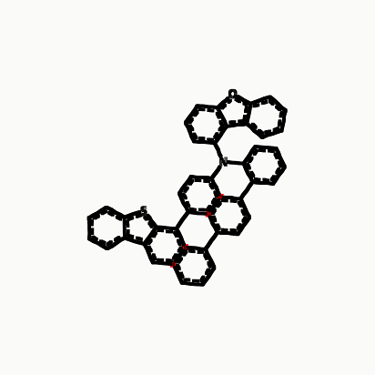 c1ccc(-c2ccc(-c3ccccc3N(c3ccc(-c4cccc5c4sc4ccccc45)cc3)c3cccc4oc5ccccc5c34)cc2)cc1